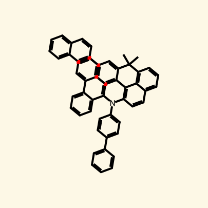 CC1(C)c2cc(-c3ccc4ccccc4c3)ccc2-c2c(N(c3ccc(-c4ccccc4)cc3)c3cc4ccccc4c4ccccc34)ccc3cccc1c23